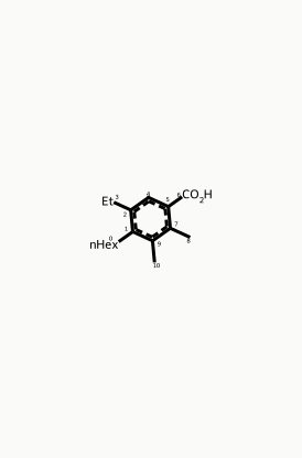 CCCCCCc1c(CC)cc(C(=O)O)c(C)c1C